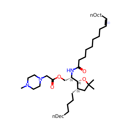 CCCCCCCC/C=C\CCCCCCCC(=O)N[C@@H](COC(=O)CN1CCN(C)CC1)[C@@H]1OC(C)(C)C[C@@H]1CCCCCCCCCCCCCC